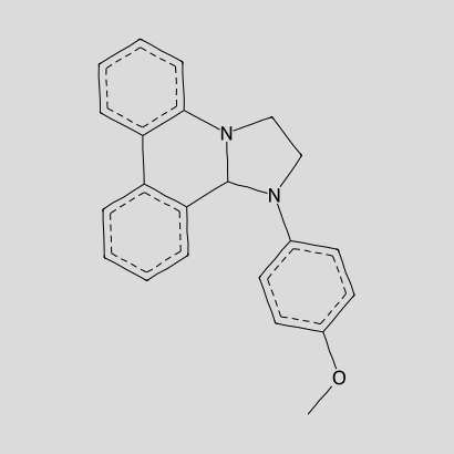 COc1ccc(N2CCN3c4ccccc4-c4ccccc4C23)cc1